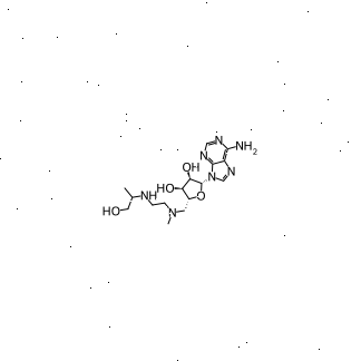 CC(CO)NCCN(C)C[C@H]1O[C@@H](n2cnc3c(N)ncnc32)[C@H](O)[C@@H]1O